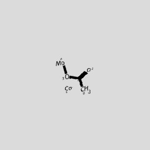 CC(=O)[O][Mo].[Co]